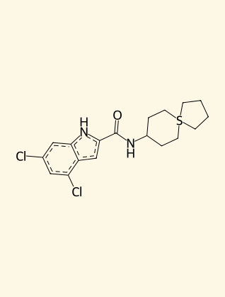 O=C(NC1CCS2(CCCC2)CC1)c1cc2c(Cl)cc(Cl)cc2[nH]1